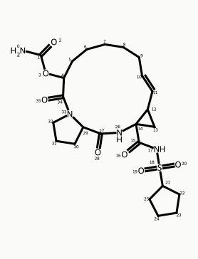 NC(=O)OC1CCCCC/C=C/C2CC2(C(=O)NS(=O)(=O)C2CCCC2)NC(=O)C2CCCN2C1=O